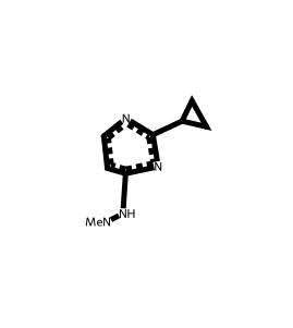 CNNc1ccnc(C2CC2)n1